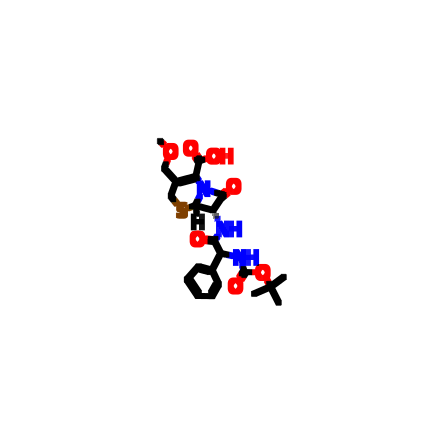 COCC1=C(C(=O)O)N2C(=O)[C@H](NC(=O)C(NC(=O)OC(C)(C)C)c3ccccc3)[C@@H]2SC1